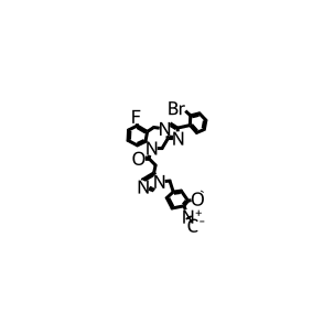 [C-]#[N+]c1ccc(Cn2cncc2CC(=O)N2Cc3nc(-c4ccccc4Br)cn3Cc3c(F)cccc32)cc1OC